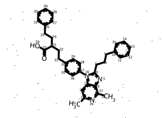 Cc1cc2c(nc(CCCc3ccccc3)n2-c2ccc(CCC(CCc3ccccc3)C(=O)O)cc2)c(C)n1